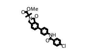 COC(=O)C(C)(C)N1Cc2ccc(-c3ccc(NC(=O)c4ccc(Cl)cc4)cc3)cc2C1=O